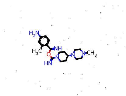 Cc1cc(N)ccc1C(=N)OC(=N)N1CCC(N2CCN(C)CC2)CC1